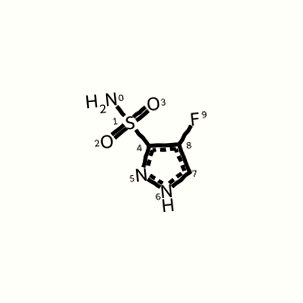 NS(=O)(=O)c1n[nH]cc1F